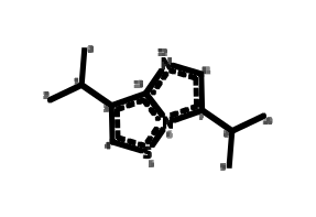 CC(C)c1csn2c(C(C)C)cnc12